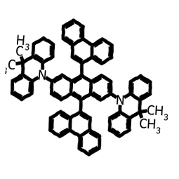 CC1(C)C2=C(C=CCC2)N(c2ccc3c(-c4cc5ccccc5c5ccccc45)c4cc(N5c6ccccc6C(C)(C)c6ccccc65)ccc4c(-c4cc5ccccc5c5ccccc45)c3c2)c2ccccc21